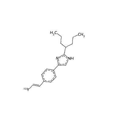 CCCC(CCC)c1nc(-c2ccc(/C=C/[123I])cc2)c[nH]1